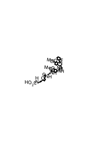 COc1cc(Nc2ncc3c(n2)-c2ccc(Cl)cc2C(c2c(F)cccc2OC)=NC3)ccc1C(=O)NCCCNC(=O)c1ccc(C#CCNC(=O)O)o1